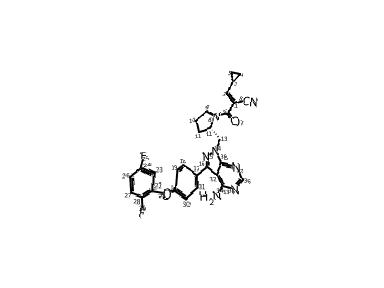 N#C/C(=C\C1CC1)C(=O)N1CCC[C@H]1Cn1nc(-c2ccc(Oc3cc(F)ccc3F)cc2)c2c(N)ncnc21